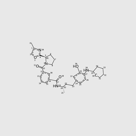 Cc1coc([C@H]2CCCN2C(=O)c2cccc(C(=O)N[C@@H](C)CCc3ccc(NC4CCCCC4)c(O)c3)c2)n1